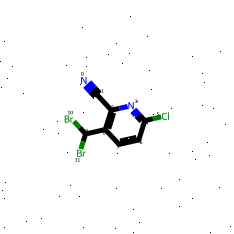 N#Cc1nc(Cl)ccc1C(Br)Br